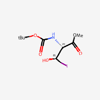 COC(=O)[C@@H](NC(=O)OC(C)(C)C)[C@H](O)I